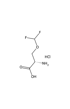 Cl.N[C@@H](COC(F)F)C(=O)O